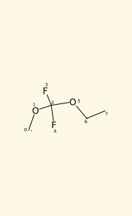 [CH2]OC(F)(F)OCC